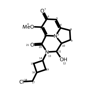 COc1c2n3c(cc1=O)CCC3C(O)N(C1CC(CCl)C1)C2=O